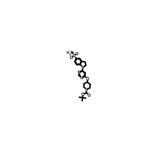 CC(C)(C)OC(=O)N1CCC(Oc2cc(N3CCc4cc(S(N)(=O)=O)ccc43)ncn2)CC1